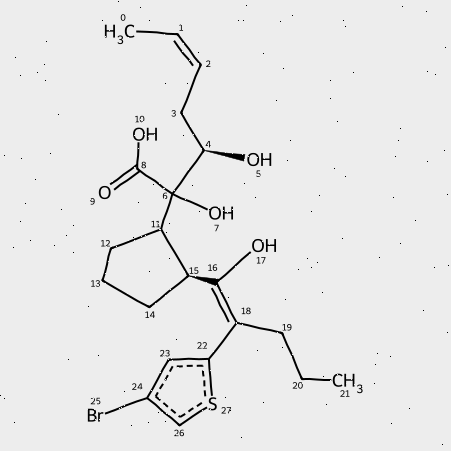 C/C=C\C[C@@H](O)C(O)(C(=O)O)C1CCC[C@@H]1/C(O)=C(/CCC)c1cc(Br)cs1